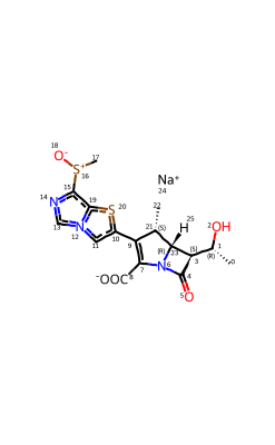 C[C@@H](O)[C@H]1C(=O)N2C(C(=O)[O-])=C(c3cn4cnc([S+](C)[O-])c4s3)[C@H](C)[C@H]12.[Na+]